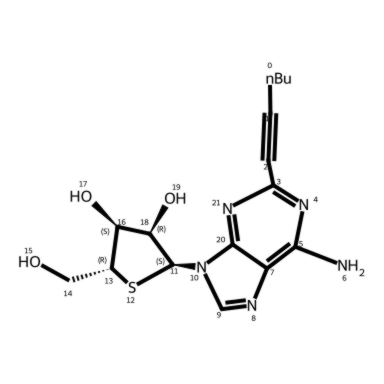 CCCCC#Cc1nc(N)c2ncn([C@H]3S[C@H](CO)[C@@H](O)[C@H]3O)c2n1